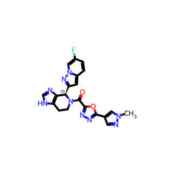 Cn1cc(-c2nnc(C(=O)N3CCc4[nH]cnc4[C@H]3c3cc4ccc(F)cn4n3)o2)cn1